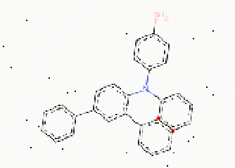 Bc1ccc(N(c2ccccc2)c2ccc(-c3ccccc3)cc2-c2ccccc2)cc1